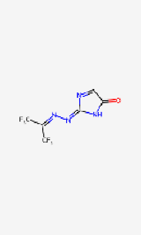 O=C1C=NC(=NN=C(C(F)(F)F)C(F)(F)F)N1